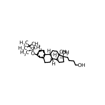 CC(C)(C)[Si](C)(C)Oc1ccc2c(c1)CC[C@@H]1[C@@H]2CC[C@@]2(C)[C@H]1CC[C@@]2(O)CCCCO